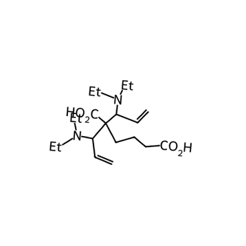 C=CC(N(CC)CC)C(CCCC(=O)O)(C(=O)O)C(C=C)N(CC)CC